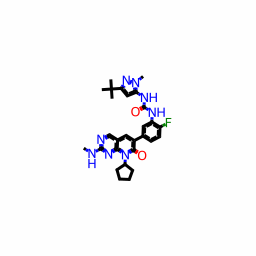 CNc1ncc2cc(-c3ccc(F)c(NC(=O)Nc4cc(C(C)(C)C)nn4C)c3)c(=O)n(C3CCCC3)c2n1